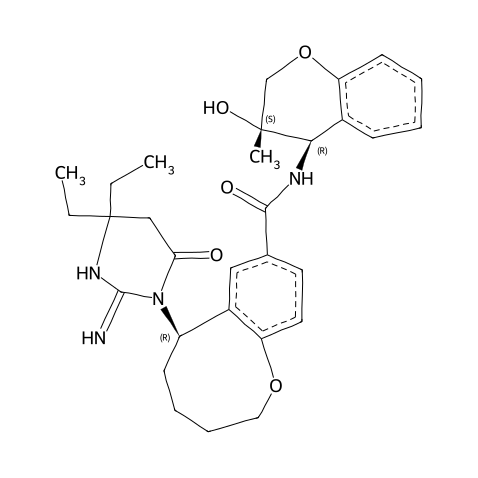 CCC1(CC)CC(=O)N([C@@H]2CCCCOc3ccc(C(=O)N[C@@H]4c5ccccc5OC[C@@]4(C)O)cc32)C(=N)N1